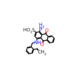 C=Cc1ccccc1CNc1cc(S(=O)(=O)O)c(N)c2c1C(=O)c1ccccc1C2=O